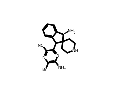 N#Cc1nc(Br)c(N)nc1C1c2ccccc2[C@@H](N)C12CCNCC2